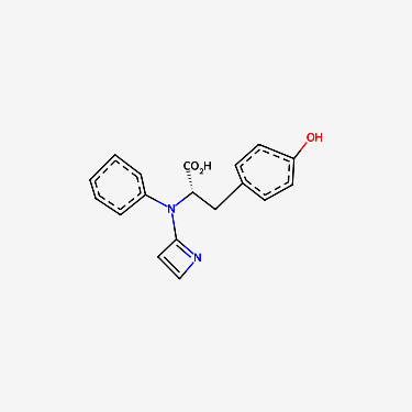 O=C(O)[C@H](Cc1ccc(O)cc1)N(C1=NC=C1)c1ccccc1